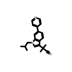 CC(C)Cn1cc(C(C)(C)C#N)c2ccc(-c3ccncc3)cc21